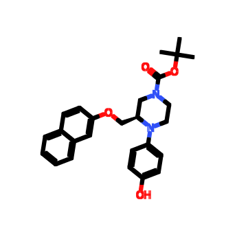 CC(C)(C)OC(=O)N1CCN(c2ccc(O)cc2)[C@@H](COc2ccc3ccccc3c2)C1